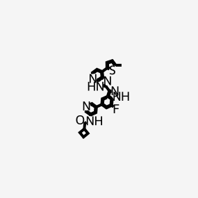 Cc1ccc(-c2ccnc3[nH]c(-c4n[nH]c5c(F)cc(-c6cncc(NC(=O)C7CCC7)c6)cc45)nc23)s1